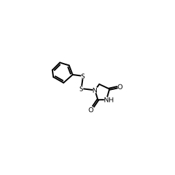 O=C1CN(SSc2ccccc2)C(=O)N1